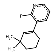 CC1(C)C=C(c2cccnc2F)CCC1